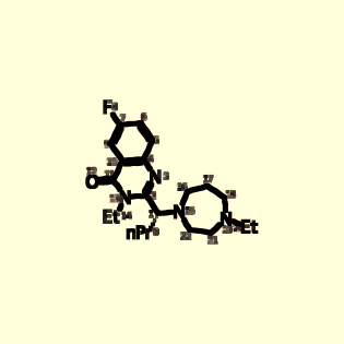 CCC[C@H](c1nc2ccc(F)cc2c(=O)n1CC)N1CCCN(CC)CC1